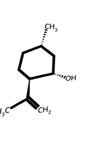 C=C(C)[C@H]1CC[C@H](C)C[C@@H]1O